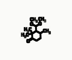 COC(OC)C1C(C)CCC(=O)C1(C)C